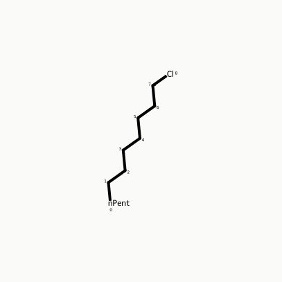 CCCCCCCCCCC[CH]Cl